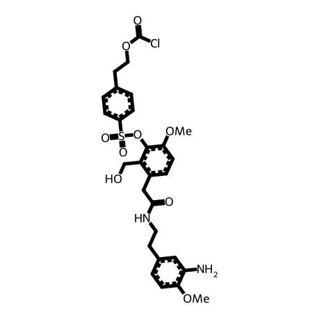 COc1ccc(CCNC(=O)Cc2ccc(OC)c(OS(=O)(=O)c3ccc(CCOC(=O)Cl)cc3)c2CO)cc1N